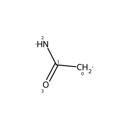 [CH2]C([NH])=O